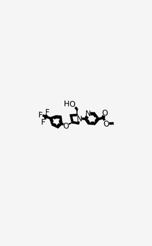 COC(=O)c1ccc(N2C[C@@H](Oc3ccc(C(F)(F)F)cc3)C[C@H]2CO)nc1